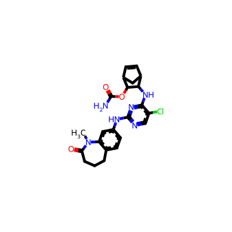 CN1C(=O)CCCc2ccc(Nc3ncc(Cl)c(NC4C5C=CC(C5)C4OC(N)=O)n3)cc21